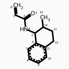 C=CC(=O)NC1c2ccccc2CCC1C